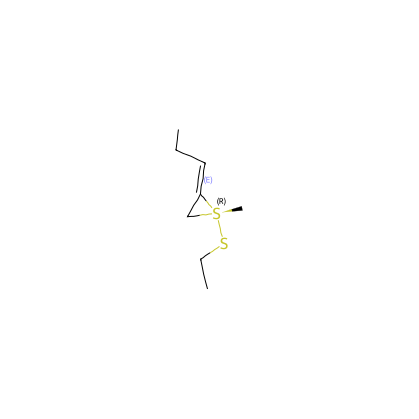 CC/C=C1\C[S@@]1(C)SCC